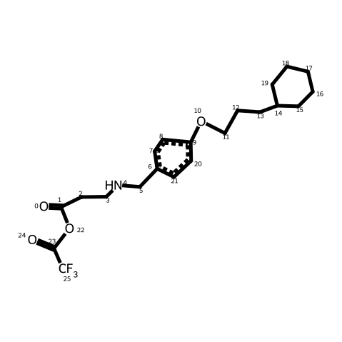 O=C(CCNCc1ccc(OCCCC2CCCCC2)cc1)OC(=O)C(F)(F)F